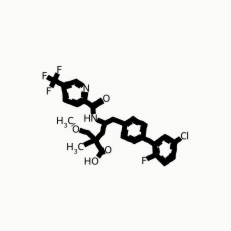 COCC(C)(CC(Cc1ccc(-c2cc(Cl)ccc2F)cc1)NC(=O)c1ccc(C(F)(F)F)cn1)C(=O)O